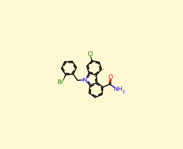 NC(=O)c1cccc2c1c1[c]cc(Cl)cc1n2Cc1ccccc1Br